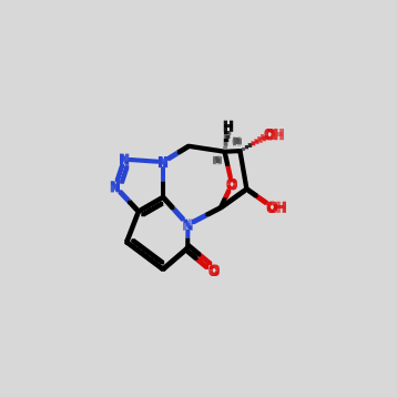 O=c1ccc2nnn3c2n1C1O[C@@H](C3)[C@H](O)C1O